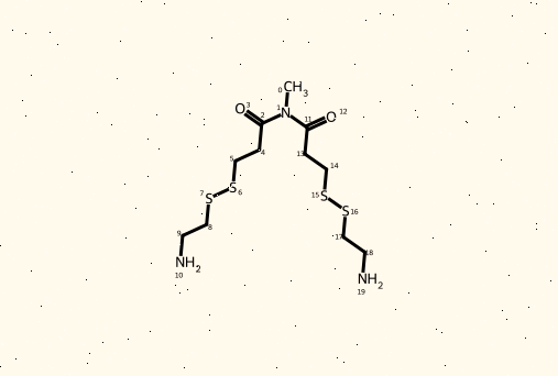 CN(C(=O)CCSSCCN)C(=O)CCSSCCN